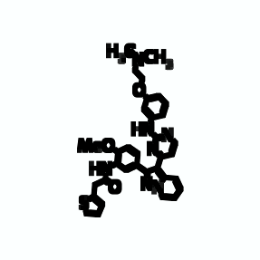 COc1ccc(-c2nn3ccccc3c2-c2ccnc(Nc3cccc(OCCN(C)C)c3)n2)cc1NC(=O)Cc1cccs1